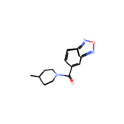 CC1CCN(C(=O)c2ccc3nonc3c2)CC1